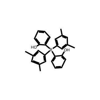 Cc1cc(C)cc([B-](c2cc(C)cc(C)c2)(c2ccccc2O)c2ccccc2O)c1